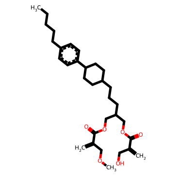 C=C(CO)C(=O)OCC(CCCC1CCC(c2ccc(CCCCC)cc2)CC1)COC(=O)C(=C)COC